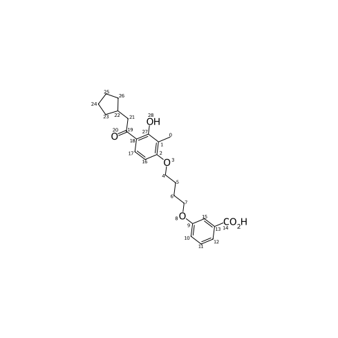 Cc1c(OCCCCOc2cccc(C(=O)O)c2)ccc(C(=O)CC2CCCC2)c1O